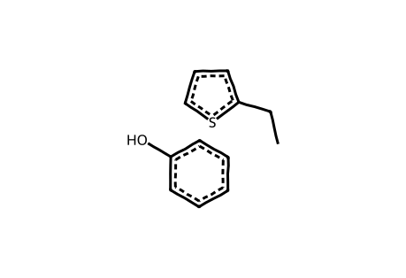 CCc1cccs1.Oc1ccccc1